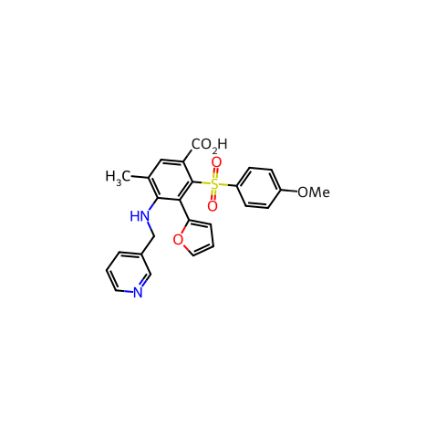 COc1ccc(S(=O)(=O)c2c(C(=O)O)cc(C)c(NCc3cccnc3)c2-c2ccco2)cc1